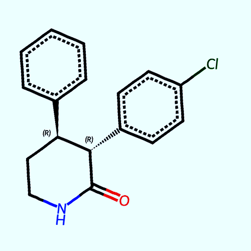 O=C1NCC[C@@H](c2ccccc2)[C@@H]1c1ccc(Cl)cc1